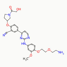 COc1cc(Nc2nccc(-c3ccc(OC4CCN(C(=O)CO)C4)c(C#N)c3)n2)ccc1OCCOCCN